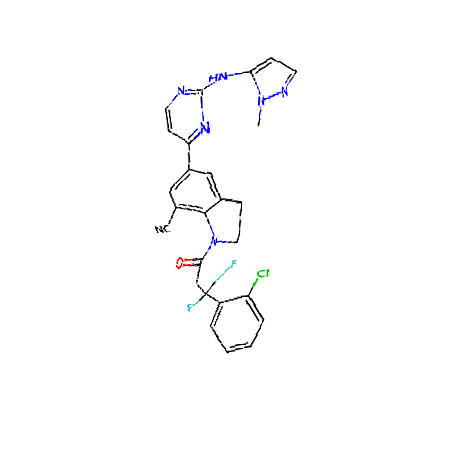 Cn1nccc1Nc1nccc(-c2cc(C#N)c3c(c2)CCN3C(=O)C(F)(F)c2ccccc2Cl)n1